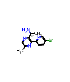 Cc1cnc([C@H](C)N)c(-c2ccc(Br)cn2)n1